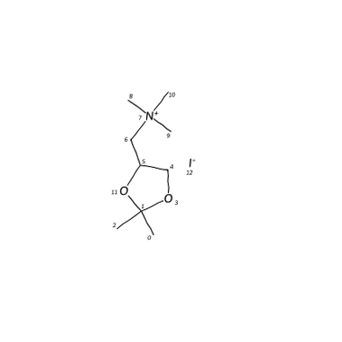 CC1(C)OCC(C[N+](C)(C)C)O1.[I-]